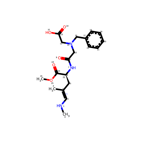 CN/C=C(\C)C[C@H](NC(=O)CN(CC(=O)O)Cc1ccccc1)C(=O)OC